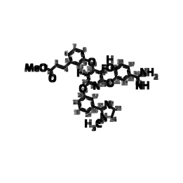 COC(=O)C=Cc1cccc(Oc2c(F)c(Oc3cccc(C4=NCCN4C)c3)nc(Oc3cc(C(=N)N)ccc3O)c2F)c1